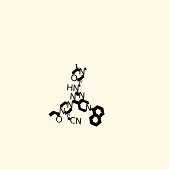 C=CC(=O)N1CCN(c2nc(NC[C@H]3CN(C)[C@H](C)CO3)nc3c2CCN(c2cccc4ccccc24)C3)C[C@@H]1CC#N